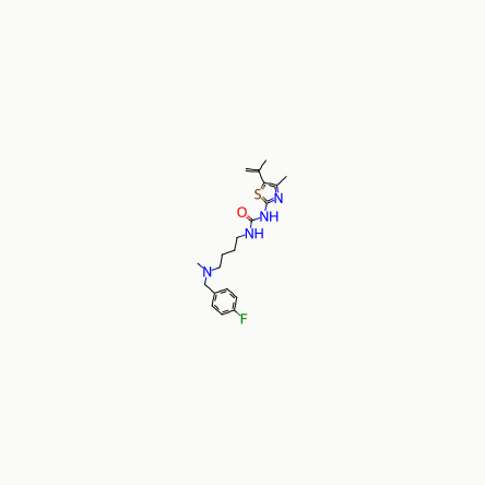 C=C(C)c1sc(NC(=O)NCCCCN(C)Cc2ccc(F)cc2)nc1C